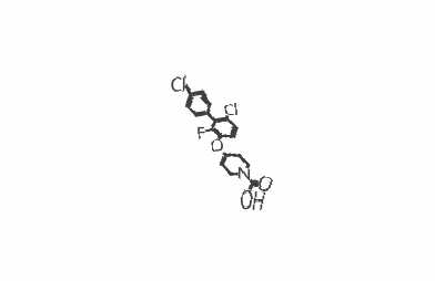 O=C(O)N1CCC(Oc2ccc(Cl)c(-c3ccc(Cl)cc3)c2F)CC1